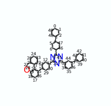 c1ccc(-c2ccc(-c3nc(-c4ccc(-c5cccc6c5-c5ccccc5CO6)cc4)nc(-c4cccc(-c5ccccc5)c4)n3)cc2)cc1